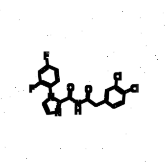 O=C(Cc1ccc(Cl)c(Cl)c1)NC(=O)c1nccn1-c1ccc(F)cc1F